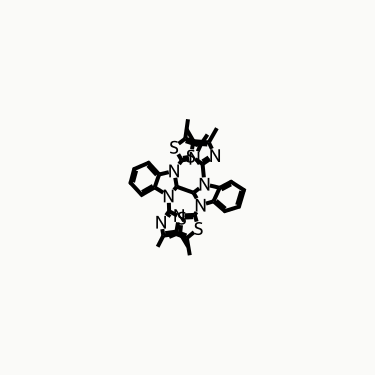 Cc1nc(N2c3ccccc3N(c3nc(C)c(C)s3)C2C2N(c3nc(C)c(C)s3)c3ccccc3N2c2nc(C)c(C)s2)sc1C